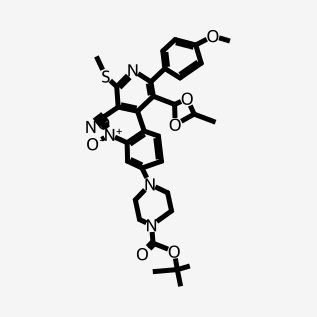 COc1ccc(-c2nc(SC)c(C#N)c(-c3ccc(N4CCN(C(=O)OC(C)(C)C)CC4)cc3[N+](=O)[O-])c2C2OC(C)O2)cc1